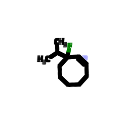 CC(C)C1(F)/C=C\CCCCC1